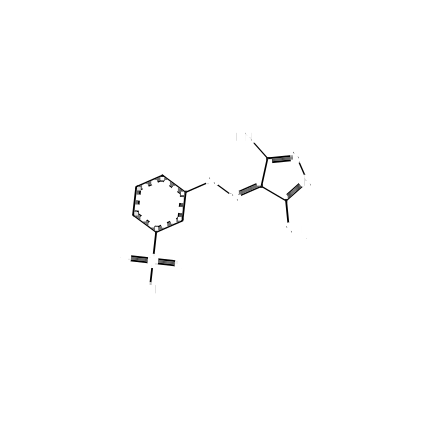 NC1=NN=C(N)C1=NNc1cccc(S(=O)(=O)C(F)(F)F)c1